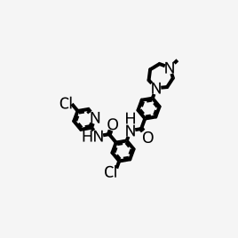 CN1CCCN(c2ccc(C(=O)Nc3ccc(Cl)cc3C(=O)Nc3ccc(Cl)cn3)cc2)CC1